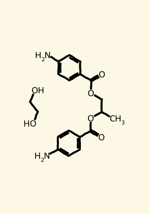 CC(COC(=O)c1ccc(N)cc1)OC(=O)c1ccc(N)cc1.OCCO